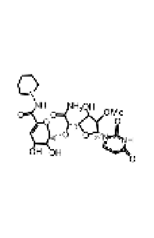 COC1C(O)[C@@H](C(O[C@H]2OC(C(=O)NN3CCCCC3)=CC(O)C2O)C(N)=O)O[C@H]1n1ccc(=O)[nH]c1=O